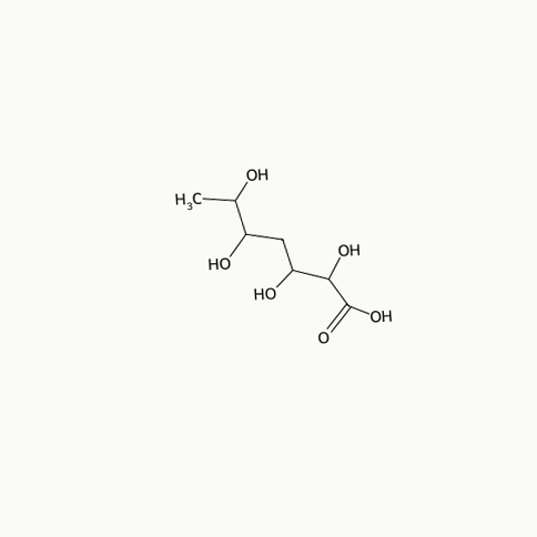 CC(O)C(O)CC(O)C(O)C(=O)O